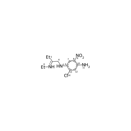 CCNC(CC)CNc1cc([N+](=O)[O-])c(N)cc1Cl